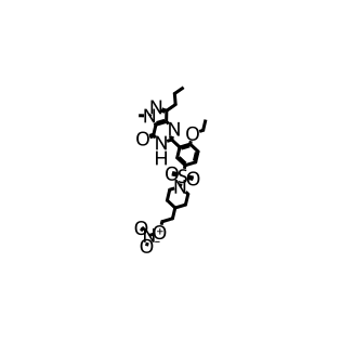 CCCc1nn(C)c2c(=O)[nH]c(-c3cc(S(=O)(=O)N4CCC(CCO[N+](=O)[O-])CC4)ccc3OCC)nc12